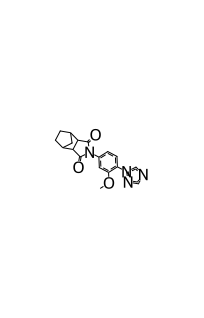 COc1cc(N2C(=O)C3C4CCC(C4)C3C2=O)ccc1-n1cncn1